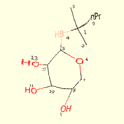 CCCC(C)(C)BC1OCC(O)C(O)C1O